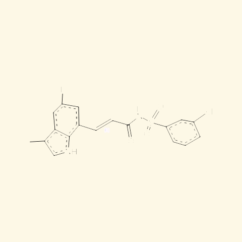 Cc1c[nH]c2c(/C=C/C(=O)NS(=O)(=O)c3cccc(Cl)c3)cc(F)cc12